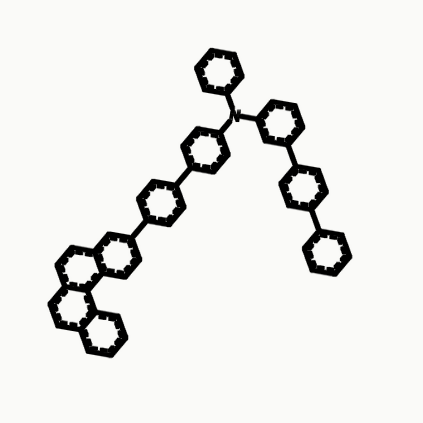 c1ccc(-c2ccc(-c3cccc(N(c4ccccc4)c4ccc(-c5ccc(-c6ccc7c(ccc8ccc9ccccc9c87)c6)cc5)cc4)c3)cc2)cc1